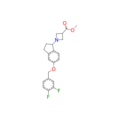 COC(=O)C1CN(C2CCc3cc(OCc4ccc(F)c(F)c4)ccc32)C1